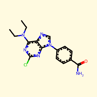 CCN(CC)c1nc(Cl)nc2c1ncn2-c1ccc(C(N)=O)cc1